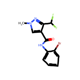 Cn1cc(C(=O)Nc2ccccc2Br)c(C(F)F)n1